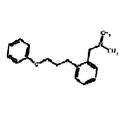 CN(C)Cc1ccccc1CCCOc1ccccc1